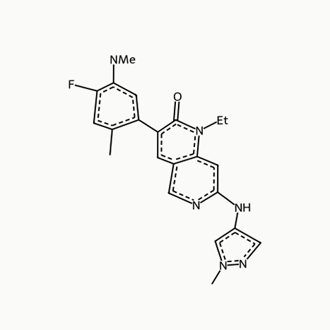 CCn1c(=O)c(-c2cc(NC)c(F)cc2C)cc2cnc(Nc3cnn(C)c3)cc21